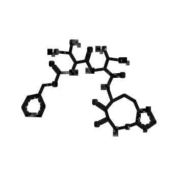 CC(C)C(NC(=O)OCc1ccccc1)C(=O)NC(C(=O)NC1CCc2ncsc2CNC(=O)C1=O)C(C)C